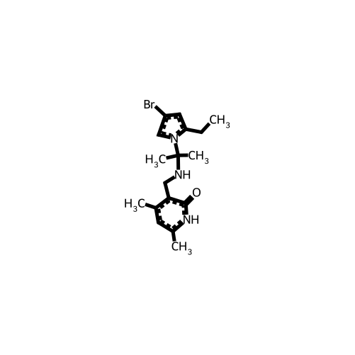 CCc1cc(Br)cn1C(C)(C)NCc1c(C)cc(C)[nH]c1=O